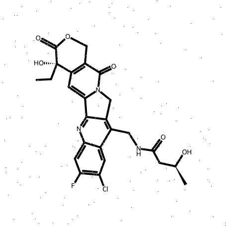 CC[C@@]1(O)C(=O)OCc2c1cc1n(c2=O)Cc2c-1nc1cc(F)c(Cl)cc1c2CNC(=O)C[C@H](C)O